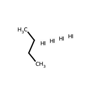 CCCC.I.I.I.I